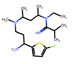 CCN(C(=N)C(C)C)C(C)CC(C)N(C)CCC(N)c1ccc(F)s1